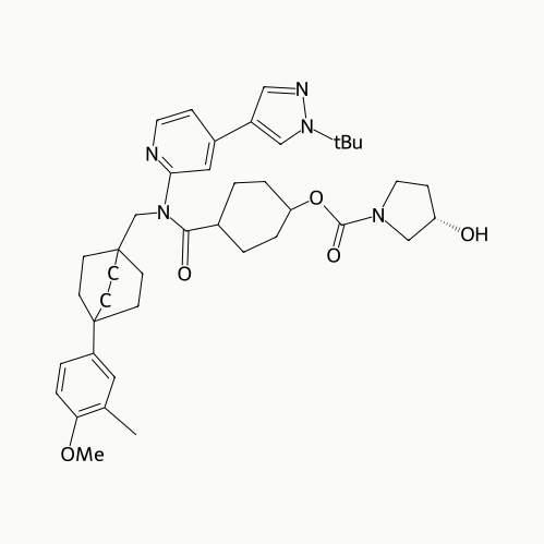 COc1ccc(C23CCC(CN(C(=O)C4CCC(OC(=O)N5CC[C@H](O)C5)CC4)c4cc(-c5cnn(C(C)(C)C)c5)ccn4)(CC2)CC3)cc1C